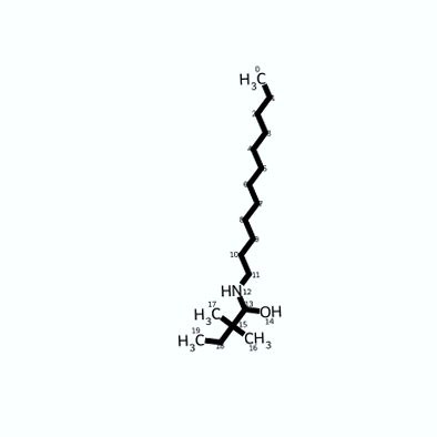 CCCCCCCCCCCCNC(O)C(C)(C)CC